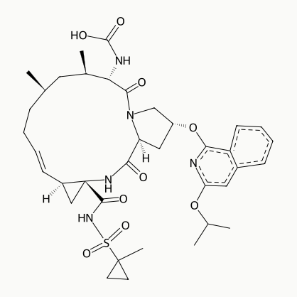 CC(C)Oc1cc2ccccc2c(O[C@@H]2C[C@H]3C(=O)N[C@]4(C(=O)NS(=O)(=O)C5(C)CC5)C[C@H]4/C=C\CC[C@@H](C)C[C@@H](C)[C@H](NC(=O)O)C(=O)N3C2)n1